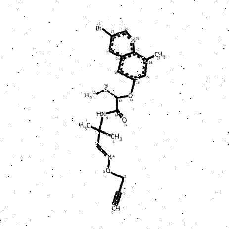 C#CCON=CC(C)(C)NC(=O)C(Oc1cc(C)c2ncc(Br)cc2c1)SC